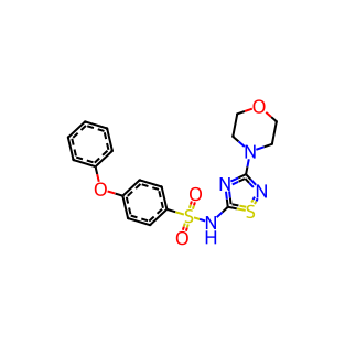 O=S(=O)(Nc1nc(N2CCOCC2)ns1)c1ccc(Oc2ccccc2)cc1